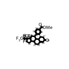 COC(=O)c1ccc(C2C[C@@]3(C)C(CC[C@@]3(O)C(F)(F)C(F)(F)F)C3CCC4=CC(=O)CCC4C23)cc1